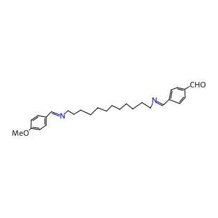 COc1ccc(C=NCCCCCCCCCCCCN=Cc2ccc(C=O)cc2)cc1